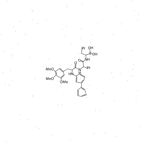 COc1cc(CC(Nc2cccc(-c3ccccc3)c2)C(=O)NC(C(=O)NC(CC(C)C)B(O)O)C(C)C)cc(OC)c1OC